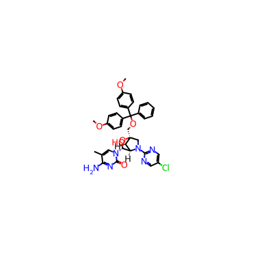 COc1ccc(C(OC[C@@]23CN(c4ncc(Cl)cn4)[C@@H]([C@H](n4cc(C)c(N)nc4=O)O2)[C@@H]3O)(c2ccccc2)c2ccc(OC)cc2)cc1